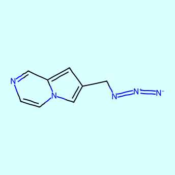 [N-]=[N+]=NCc1cc2cnccn2c1